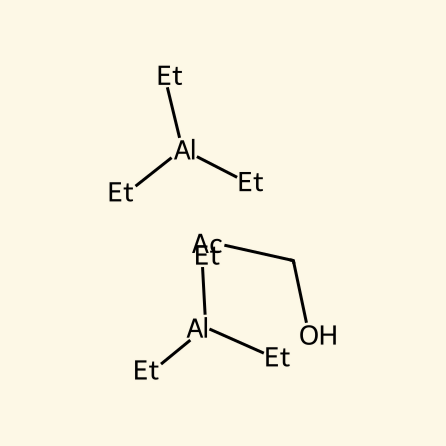 CC(=O)CO.C[CH2][Al]([CH2]C)[CH2]C.C[CH2][Al]([CH2]C)[CH2]C